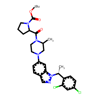 CC1CN(c2ccc3cnn([C@H](C)c4ccc(Cl)cc4Cl)c3c2)CCN1C(=O)C1CCCN1C(=O)OC(C)(C)C